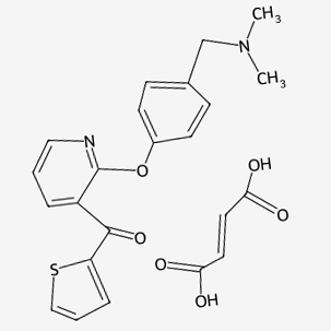 CN(C)Cc1ccc(Oc2ncccc2C(=O)c2cccs2)cc1.O=C(O)C=CC(=O)O